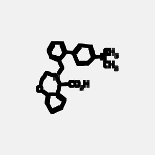 CN(C)c1ccc(-c2ccccc2CN2CCOc3ccccc3C2C(=O)O)cc1